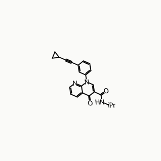 CC(C)NC(=O)c1cn(-c2cccc(C#CC3CC3)c2)c2ncccc2c1=O